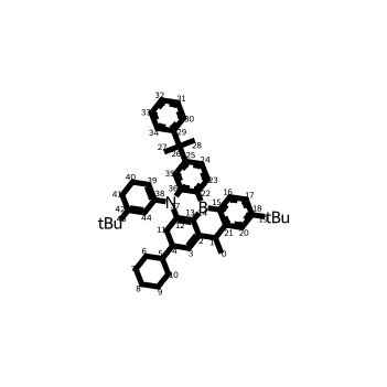 CC1C2=CC(C3CCCCC3)CC3=C2B(c2ccc(C(C)(C)C)cc21)c1ccc(C(C)(C)c2ccccc2)cc1N3C1=CCCC(C(C)(C)C)=C1